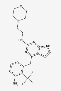 Nc1cccc(Cc2nc(NCCN3CCOCC3)nc3[nH]ncc23)c1C(F)(F)F